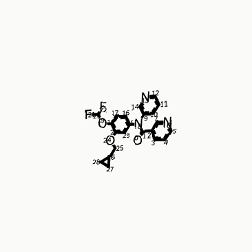 O=C(c1cccnc1)N(c1cccnc1)c1ccc(OC(F)F)c(OCC2CC2)c1